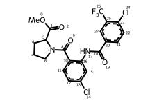 COC(=O)C1CCCN1C(=O)c1ccc(Cl)cc1NC(=O)c1ccc(Cl)c(C(F)(F)F)c1